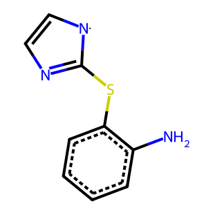 Nc1ccccc1SC1=NC=C[N]1